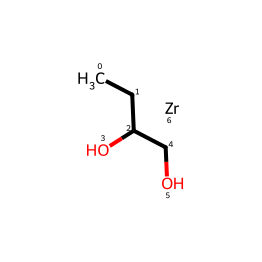 CCC(O)CO.[Zr]